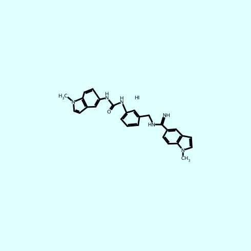 Cn1ccc2cc(NC(=O)Nc3cccc(CNC(=N)c4ccc5c(ccn5C)c4)c3)ccc21.I